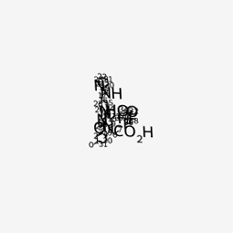 Cc1ccc(C(CC(=O)O)n2cc(C)c(N3CCC(CNc4ccccn4)CC3)nc2=O)cc1.O=C(O)C(F)(F)F